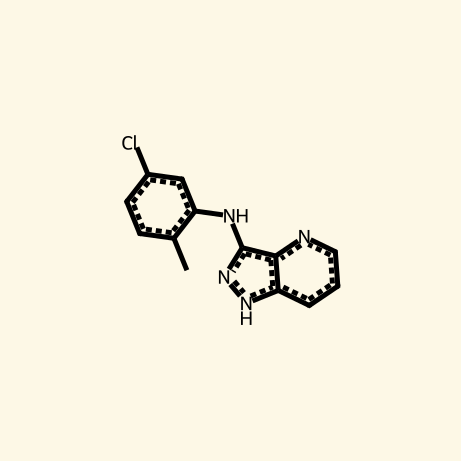 Cc1ccc(Cl)cc1Nc1n[nH]c2cccnc12